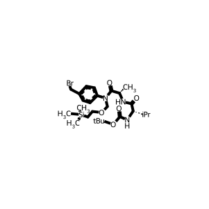 CC(C)[C@H](NC(=O)OC(C)(C)C)C(=O)N[C@@H](C)C(=O)N(COCC[Si](C)(C)C)c1ccc(CBr)cc1